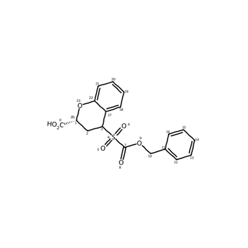 O=C(O)[C@H]1CC(S(=O)(=O)C(=O)OCc2ccccc2)c2ccccc2O1